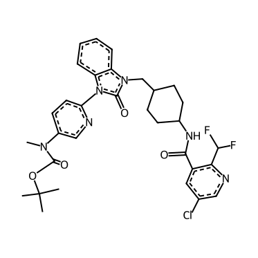 CN(C(=O)OC(C)(C)C)c1ccc(-n2c(=O)n(CC3CCC(NC(=O)c4cc(Cl)cnc4C(F)F)CC3)c3ccccc32)nc1